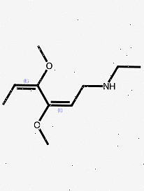 C/C=C(OC)\C(=C/CNCC)OC